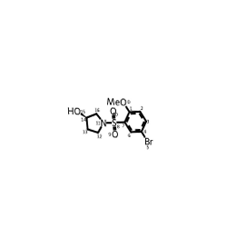 COc1ccc(Br)cc1S(=O)(=O)N1CC[C@@H](O)C1